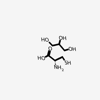 N[C@@H](CS)C(=O)O.OCC(O)CO